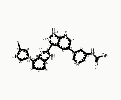 CCCC(=O)Nc1cncc(-c2cnc3[nH]nc(-c4nc5c(-n6cnc(C)c6)cccc5[nH]4)c3c2)c1